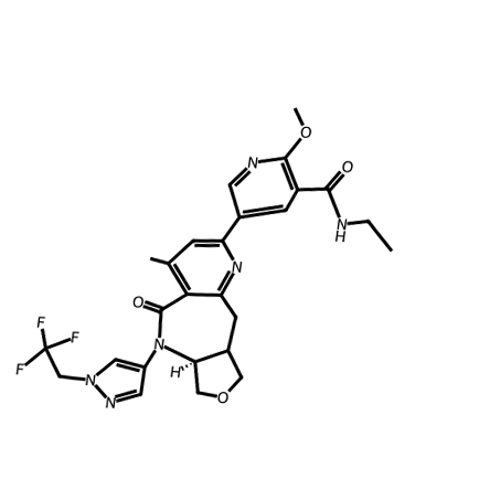 CCNC(=O)c1cc(-c2cc(C)c3c(n2)CC2COC[C@H]2N(c2cnn(CC(F)(F)F)c2)C3=O)cnc1OC